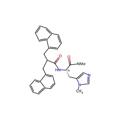 CNC(=O)[C@H](Cc1cncn1C)NC(=O)C(Cc1cccc2ccccc12)Cc1cccc2ccccc12